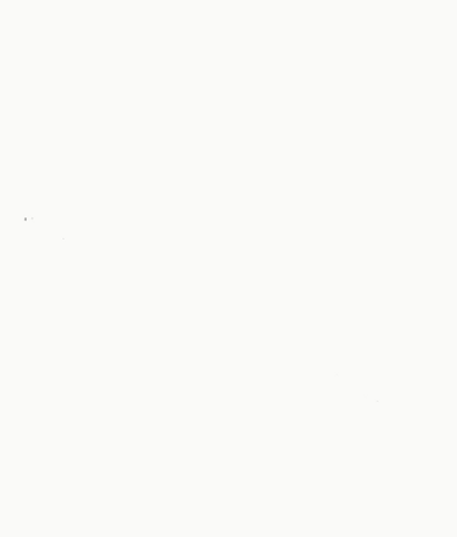 CCCCOC(=O)CCCCCCCCCCCCC(CC)CC(=O)OCCCC